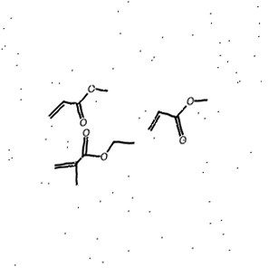 C=C(C)C(=O)OCC.C=CC(=O)OC.C=CC(=O)OC